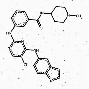 CN1CCC(NC(=O)c2cccc(Nc3ncc(Cl)c(Nc4ccc5ncsc5c4)n3)c2)CC1